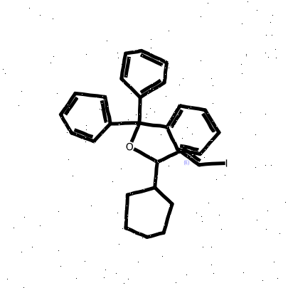 I/C=C/C(OC(c1ccccc1)(c1ccccc1)c1ccccc1)C1CCCCC1